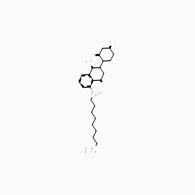 NCCCCCCCCNc1cccc2c1C(=O)CC(C1CCC(=O)CC1=O)C2=O